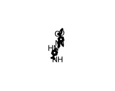 CCOC(=O)c1ccc2c(c1)nc(CNc1ccc(C(C)=N)cc1)n2C